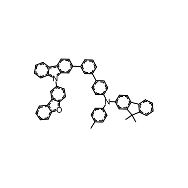 Cc1ccc(N(c2ccc(-c3cccc(-c4ccc5c6ccccc6n(-c6ccc7oc8ccccc8c7c6)c5c4)c3)cc2)c2ccc3c(c2)C(C)(C)c2ccccc2-3)cc1